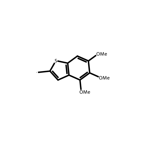 [CH2]c1cc2c(OC)c(OC)c(OC)cc2s1